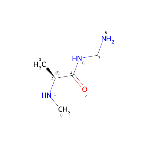 CN[C@@H](C)C(=O)NCN